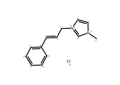 Cn1cc[n+](CC=Cc2ccccc2)c1.[Cl-]